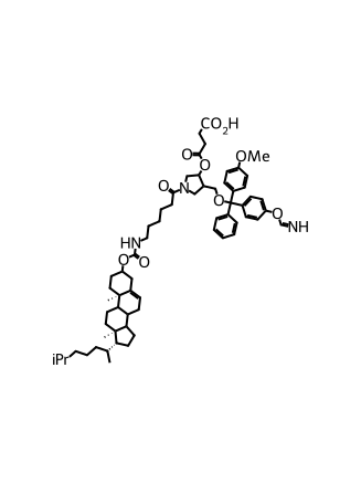 COc1ccc(C(OCC2CN(C(=O)CCCCCNC(=O)OC3CC[C@@]4(C)C(=CCC5C4CC[C@@]4(C)C5CC[C@@H]4C(C)CCCC(C)C)C3)CC2OC(=O)CCC(=O)O)(c2ccccc2)c2ccc(OC=N)cc2)cc1